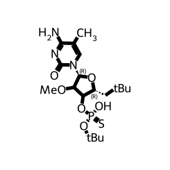 COC1C(OP(O)(=S)OC(C)(C)C)[C@@H](CC(C)(C)C)O[C@H]1n1cc(C)c(N)nc1=O